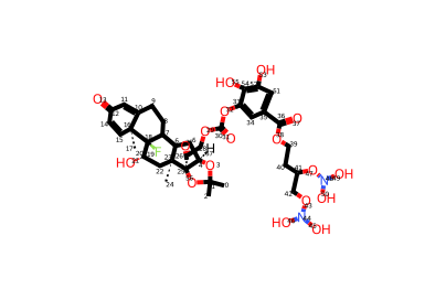 CC1(C)O[C@@H]2CC3C4CCC5=CC(=O)C=C[C@]5(C)[C@@]4(F)[C@@H](O)C[C@]3(C)[C@]2(C(=O)COC(=O)Oc2cc(C(=O)OCCC(CON(O)O)ON(O)O)cc(O)c2O)O1